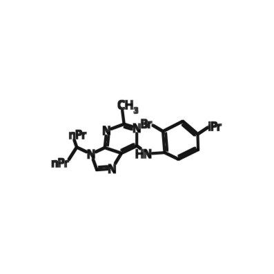 CCCC(CCC)n1cnc2c(Nc3ccc(C(C)C)cc3Br)nc(C)nc21